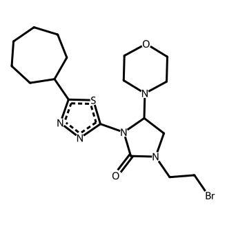 O=C1N(CCBr)CC(N2CCOCC2)N1c1nnc(C2CCCCCC2)s1